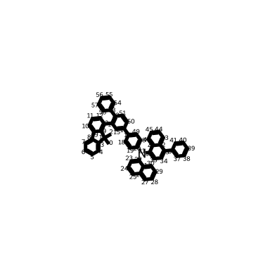 CC1(C)c2ccccc2-c2cccc(-c3cc(-c4ccc(N(c5cccc6ccccc56)c5ccc(-c6ccccc6)c6ccccc56)cc4)ccc3-c3ccccc3)c21